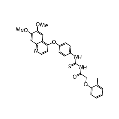 COc1cc2nccc(Oc3ccc(NC(=S)NC(=O)COc4ccccc4C)cc3)c2cc1OC